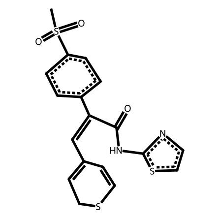 CS(=O)(=O)c1ccc(C(=CC2=CCSC=C2)C(=O)Nc2nccs2)cc1